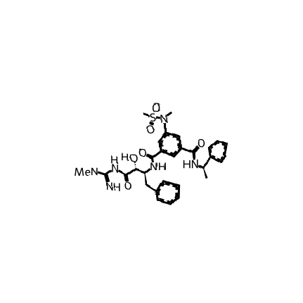 CNC(=N)NC(=O)[C@H](O)[C@H](Cc1ccccc1)NC(=O)c1cc(C(=O)N[C@H](C)c2ccccc2)cc(N(C)S(C)(=O)=O)c1